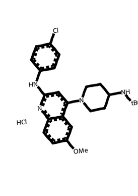 COc1ccc2nc(Nc3ccc(Cl)cc3)cc(N3CCC(NC(C)(C)C)CC3)c2c1.Cl